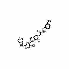 CCCc1cccc(CNC(=O)CN2Cc3ccc(-c4nc(NC5CCOCC5)ncc4Cl)cc3C2=O)c1